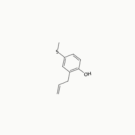 C=CCc1cc(SC)ccc1O